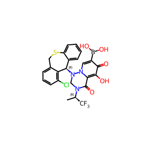 C[C@@H](N1CN([C@@H]2c3ccccc3SCc3cccc(Cl)c32)n2cc(B(O)O)c(=O)c(O)c2C1=O)C(F)(F)F